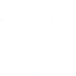 CC[C@@H](Oc1nc(Oc2cc(NC(=O)OC)cc(-c3cccc(CN)c3)c2)c(F)cc1F)C(=O)O